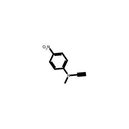 C#CN(C)c1ccc([N+](=O)[O-])cc1